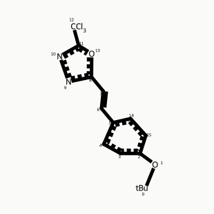 CC(C)(C)Oc1ccc(C=Cc2nnc(C(Cl)(Cl)Cl)o2)cc1